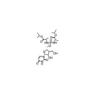 CC(C)OC(=O)C(C)NP(=O)(NC(C)C(=O)OC(C)C)OC[C@H]1O[C@@H](n2ccc(=O)[nH]c2=O)[C@H](O)[C@@H]1CO